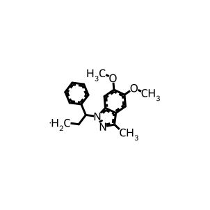 [CH2]CC(c1ccccc1)n1nc(C)c2cc(OC)c(OC)cc21